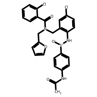 CC(=O)Nc1ccc([S+]([O-])Nc2ccc(Cl)cc2CN(Cc2ccco2)C(=O)c2ccccc2Cl)cc1